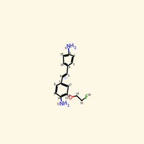 Nc1ccc(/C=C/c2ccc(N)c(OCCF)c2)cc1